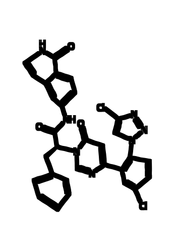 O=C(Nc1ccc2c(=O)[nH]ccc2c1)[C@H](Cc1ccccc1)n1cnc(-c2cc(Cl)ccc2-n2cc(Cl)nn2)cc1=O